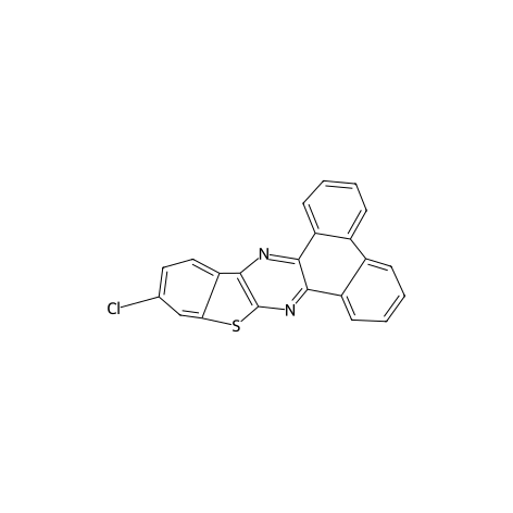 Clc1ccc2c(c1)sc1nc3c4ccccc4c4ccccc4c3nc12